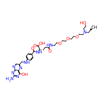 C#CCN(CCO)CCOCCOCCOCCNC(=O)CC[C@H](NC(=O)c1ccc(NCc2cnc3nc(N)nc(O)c3n2)cc1)C(=O)O